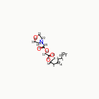 CC(C)CC[C@H](C)CC(C)(C)OC(=O)COC(=O)CN1CCOCC1